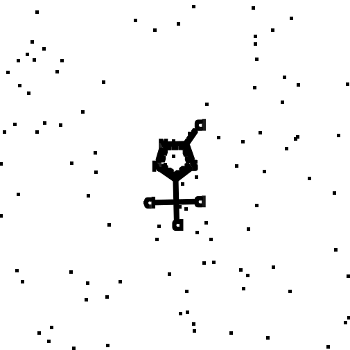 Clc1nnc(C(Cl)(Cl)Cl)s1